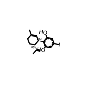 C=C(C)[C@@H]1CCC(C)=C[C@H]1c1c(O)cc(I)cc1O